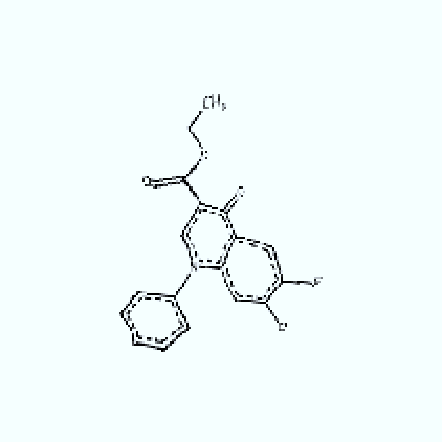 CCOC(=O)c1cn(-c2ccccc2)c2cc(Cl)c(F)cc2c1=O